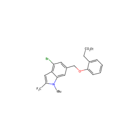 CCOC(=O)Cc1ccccc1OCc1cc(Br)c2cc(C(F)(F)F)n(C(C)(C)C)c2c1